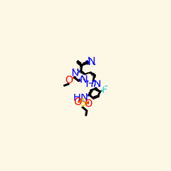 C=C(C#N)c1nc(OCC)cnc1/C=C\CNc1cc(NS(=O)(=O)CCC)ccc1F